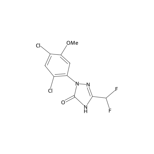 COc1cc(-n2nc(C(F)F)[nH]c2=O)c(Cl)cc1Cl